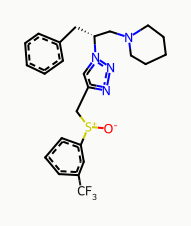 [O-][S+](Cc1cn([C@H](Cc2ccccc2)CN2CCCCC2)nn1)c1cccc(C(F)(F)F)c1